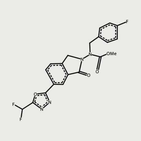 COC(=O)N(Cc1ccc(F)cc1)N1Cc2ccc(-c3nnc(C(F)F)o3)cc2C1=O